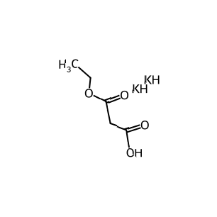 CCOC(=O)CC(=O)O.[KH].[KH]